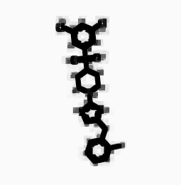 Cc1ccccc1Cc1csc(N2CCC(S(=O)(=O)c3cc(Cl)cc(Cl)c3)CC2)n1